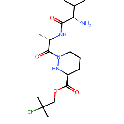 CC(C)[C@H](N)C(=O)N[C@@H](C)C(=O)N1CCC[C@@H](C(=O)OCC(C)(C)Cl)N1